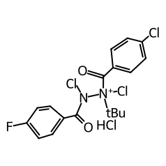 CC(C)(C)[N+](Cl)(C(=O)c1ccc(Cl)cc1)N(Cl)C(=O)c1ccc(F)cc1.Cl